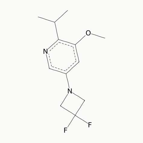 COc1cc(N2CC(F)(F)C2)cnc1C(C)C